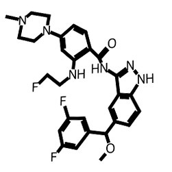 COC(c1cc(F)cc(F)c1)c1ccc2[nH]nc(NC(=O)c3ccc(N4CCN(C)CC4)cc3NCCF)c2c1